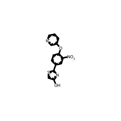 O=[N+]([O-])c1cc(-c2nc(O)cs2)ccc1Oc1cccnc1